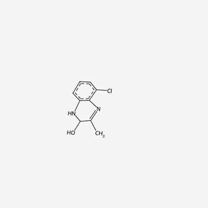 CC1=Nc2c(Cl)cccc2NC1O